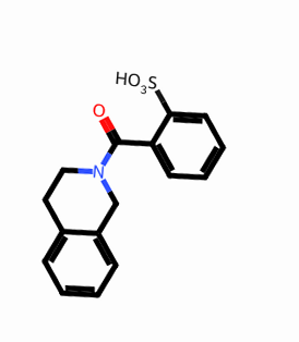 O=C(c1ccccc1S(=O)(=O)O)N1CCc2ccccc2C1